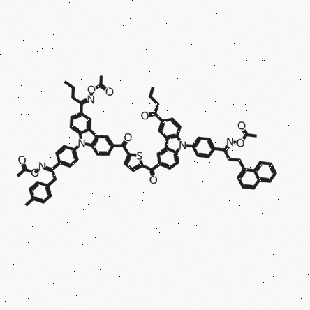 CCCC(=O)c1ccc2c(c1)c1cc(C(=O)c3ccc(C(=O)c4ccc5c(c4)c4cc(C(CCC)=NOC(C)=O)ccc4n5-c4ccc(C(Cc5ccc(C)cc5)=NOC(C)=O)cc4)s3)ccc1n2-c1ccc(C(CCc2cccc3ccccc23)=NOC(C)=O)cc1